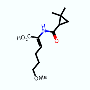 COCCCC=C(NC(=O)C1CC1(C)C)C(=O)O